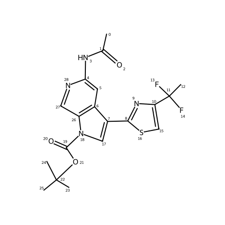 CC(=O)Nc1cc2c(-c3nc(C(C)(F)F)cs3)cn(C(=O)OC(C)(C)C)c2cn1